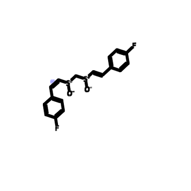 [O-][S+](C=Cc1ccc(F)cc1)C[S+]([O-])/C=C\c1ccc(F)cc1